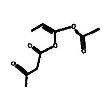 CC=C(OC(C)=O)OC(=O)CC(C)=O